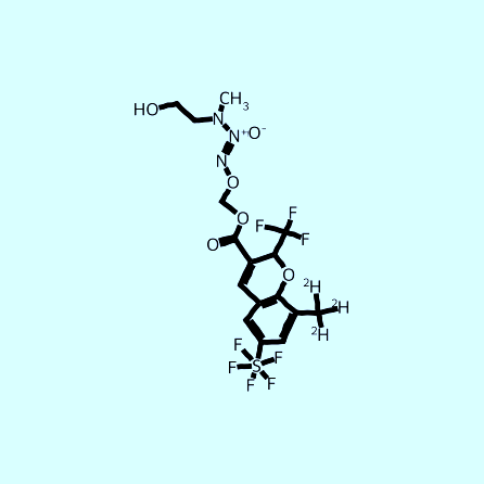 [2H]C([2H])([2H])c1cc(S(F)(F)(F)(F)F)cc2c1OC(C(F)(F)F)C(C(=O)OCON=[N+]([O-])N(C)CCO)=C2